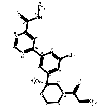 C=CC(=O)N1CCO[C@@](C)(c2cc(Cl)nc(-c3cc(C(=O)NC)ncn3)c2)C1